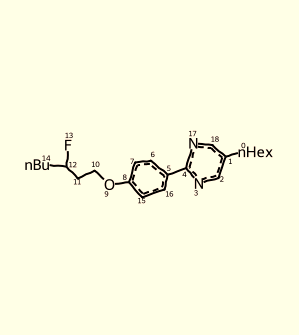 CCCCCCc1cnc(-c2ccc(OCCC(F)CCCC)cc2)nc1